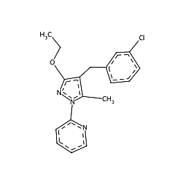 CCOc1nn(-c2ccccn2)c(C)c1Cc1cccc(Cl)c1